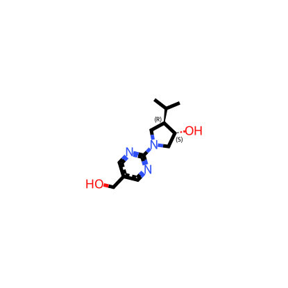 CC(C)[C@@H]1CN(c2ncc(CO)cn2)C[C@H]1O